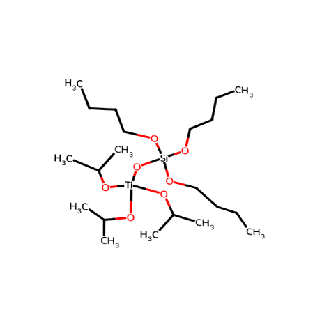 CCCCO[Si](OCCCC)(OCCCC)[O][Ti]([O]C(C)C)([O]C(C)C)[O]C(C)C